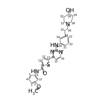 COc1cccc(NC(=O)c2ccc(-c3ccnc(Nc4cccc(CCN5CCC(O)CC5)c4)n3)s2)c1